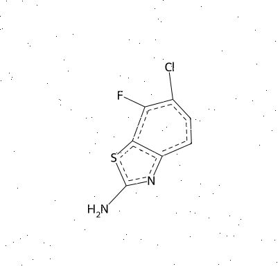 Nc1nc2ccc(Cl)c(F)c2s1